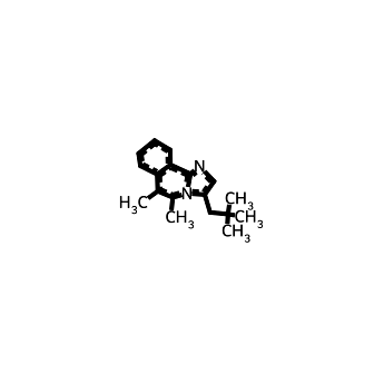 Cc1c(C)n2c(CC(C)(C)C)cnc2c2ccccc12